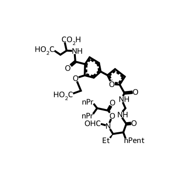 CCCCCC(C(=O)NCNC(=O)c1ccc(-c2ccc(C(=O)NC(CC(=O)O)C(=O)O)c(OCC(=O)O)c2)o1)[C@@H](CC)N(C=O)OC(=O)C(CCC)CCC